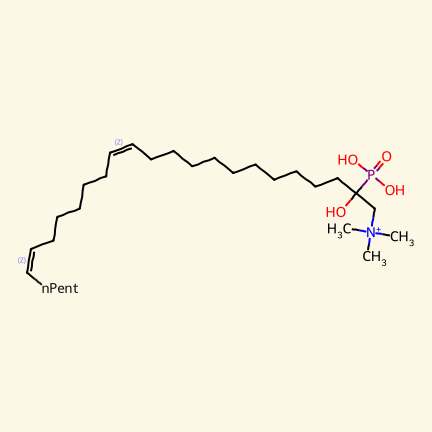 CCCCC/C=C\CCCCC/C=C\CCCCCCCCCCC(O)(C[N+](C)(C)C)P(=O)(O)O